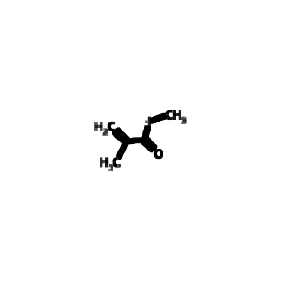 C=C(C)C(=O)[I]C